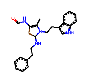 CC1=C(NC=O)SC(NCCc2ccccc2)N1CCc1c[nH]c2ccccc12